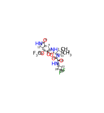 CC1(C)C[C@@H](C(=O)NC(C[C@@H]2CCNC2=O)C(=O)COC(F)(F)F)N(C(=O)C(=O)NC2CC(F)(F)C2)C1